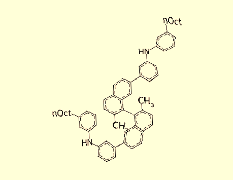 CCCCCCCCc1cccc(Nc2cccc(-c3ccc4ccc(C)c(-c5c(C)ccc6ccc(-c7cccc(Nc8cccc(CCCCCCCC)c8)c7)cc56)c4c3)c2)c1